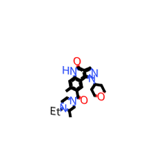 CCN1CCN(C(=O)c2cc3c(cc2C)[nH]c(=O)c2cnn(C4CCOCC4)c23)CC1C